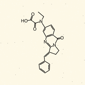 CCN(C(=O)C(=O)O)c1ccc2c(=O)n3c(nc2c1)C(=Cc1ccccc1)CC3